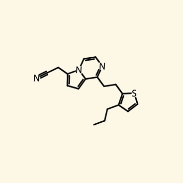 CCCc1ccsc1CCc1nccn2c(CC#N)ccc12